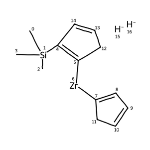 C[Si](C)(C)C1=[C]([Zr][C]2=CC=CC2)CC=C1.[H-].[H-]